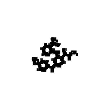 CNC(=O)c1nnc(Nc2ccc(OC)nn2)cc1Nc1ncccc1[S+](C)[O-]